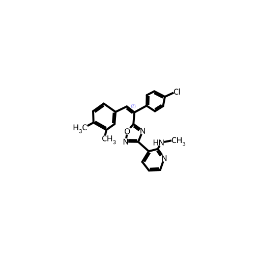 CNc1ncccc1-c1noc(/C(=C\c2ccc(C)c(C)c2)c2ccc(Cl)cc2)n1